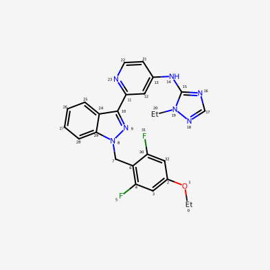 CCOc1cc(F)c(Cn2nc(-c3cc(Nc4ncnn4CC)ccn3)c3ccccc32)c(F)c1